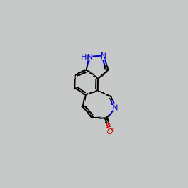 O=c1ccc2ccc3[nH]ncc3c2cn1